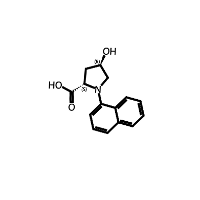 O=C(O)[C@@H]1C[C@@H](O)CN1c1cccc2ccccc12